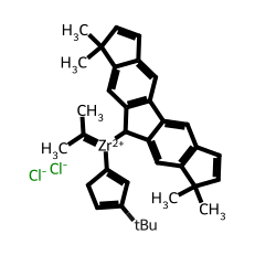 C[C](C)=[Zr+2]([C]1=CC(C(C)(C)C)=CC1)[CH]1c2cc3c(cc2-c2cc4c(cc21)C(C)(C)C=C4)C=CC3(C)C.[Cl-].[Cl-]